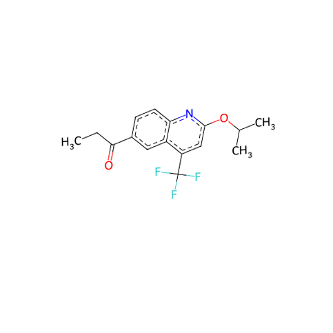 CCC(=O)c1ccc2nc(OC(C)C)cc(C(F)(F)F)c2c1